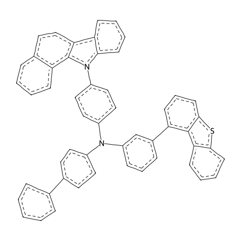 c1ccc(-c2ccc(N(c3ccc(-n4c5ccccc5c5ccc6ccccc6c54)cc3)c3cccc(-c4cccc5sc6ccccc6c45)c3)cc2)cc1